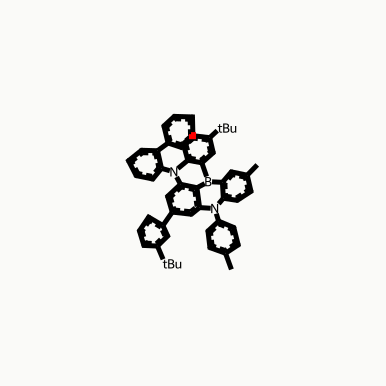 Cc1ccc(N2c3ccc(C)cc3B3c4cc(C(C)(C)C)ccc4N(c4ccccc4-c4ccccc4)c4cc(-c5cccc(C(C)(C)C)c5)cc2c43)cc1